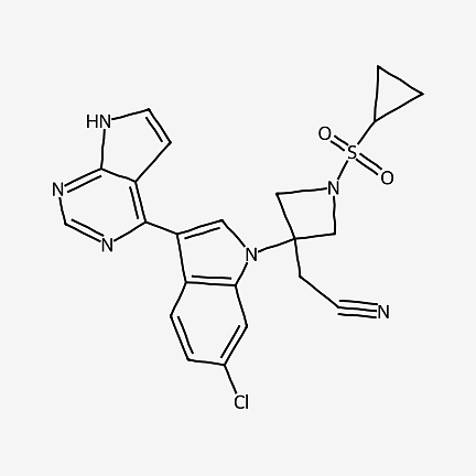 N#CCC1(n2cc(-c3ncnc4[nH]ccc34)c3ccc(Cl)cc32)CN(S(=O)(=O)C2CC2)C1